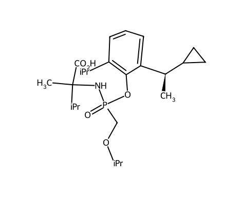 CC(C)OCP(=O)(NC(C)(C(=O)O)C(C)C)Oc1c(C(C)C)cccc1[C@H](C)C1CC1